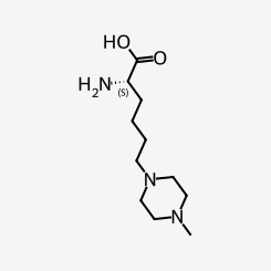 CN1CCN(CCCC[C@H](N)C(=O)O)CC1